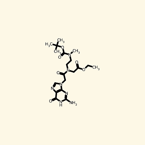 CCOC(=O)CN(CCN(C)C(=O)OC(C)(C)C)C(=O)Cn1cnc2c(=O)[nH]c(N)nc21